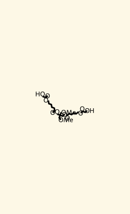 COCC(COC)(COC(=O)CCCCCOC(=O)CO)COC(=O)CCCCCOC(=O)CO